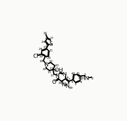 CNCc1ccc(-c2c3ncn(CC4(O)CCN(Cc5ccc(-c6cc(C)cs6)cc5Cl)CC4)c(=O)c3nn2C)cc1